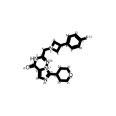 O=c1[nH]c(CN2CC(c3ccc(F)cc3)C2)nn2c(C3CCOCC3)ncc12